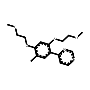 COCCOc1cc(SCCOC)c(-c2ccncn2)cc1C